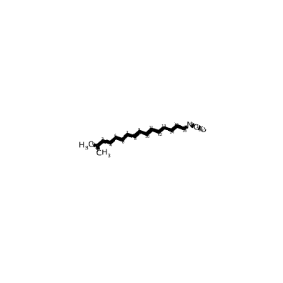 CC(C)CCCCCCCCCCCCCCN=C=O